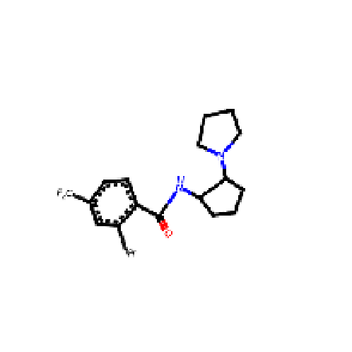 CC(C)c1cc(C(F)(F)F)ccc1C(=O)NC1CCCC1N1CCCC1